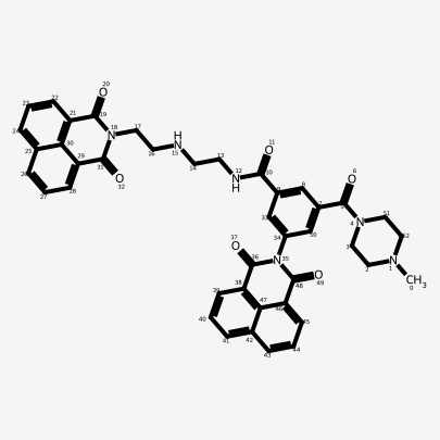 CN1CCN(C(=O)c2cc(C(=O)NCCNCCN3C(=O)c4cccc5cccc(c45)C3=O)cc(N3C(=O)c4cccc5cccc(c45)C3=O)c2)CC1